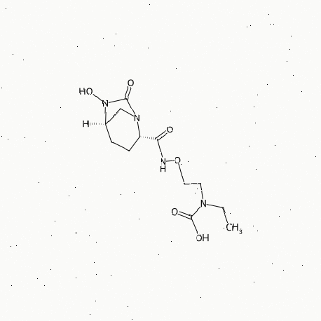 CCN(CCONC(=O)[C@@H]1CC[C@@H]2CN1C(=O)N2O)C(=O)O